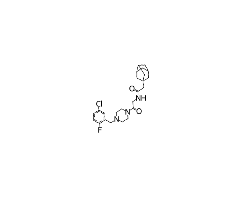 O=C(CC12CC3CC(C1)C(C3)C2)NCC(=O)N1CCN(Cc2cc(Cl)ccc2F)CC1